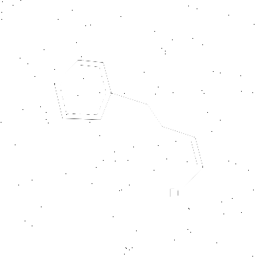 CC/C=C\CCc1[c]cccc1